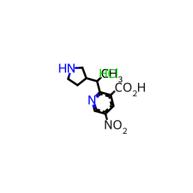 CC(c1ncc([N+](=O)[O-])cc1C(=O)O)C1CCNC1.Cl